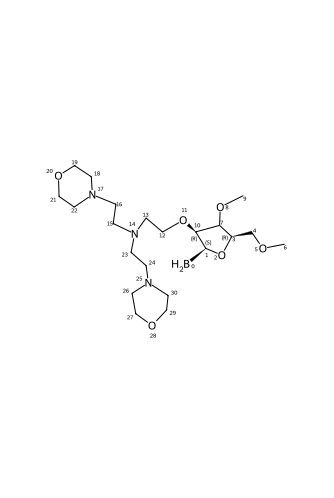 B[C@@H]1O[C@H](COC)C(OC)[C@@H]1OCCN(CCN1CCOCC1)CCN1CCOCC1